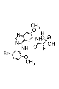 COc1cc2ncnc(Nc3cc(Br)ccc3OC)c2cc1NC(=O)C(F)P(=O)(O)O